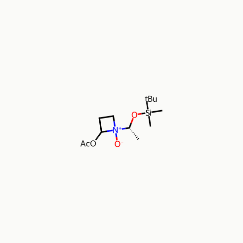 CC(=O)OC1CC[N+]1([O-])[C@@H](C)O[Si](C)(C)C(C)(C)C